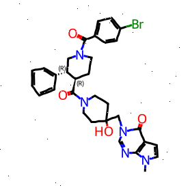 Cn1ccc2c(=O)n(CC3(O)CCN(C(=O)[C@@H]4CCN(C(=O)c5ccc(Br)cc5)C[C@H]4c4ccccc4)CC3)cnc21